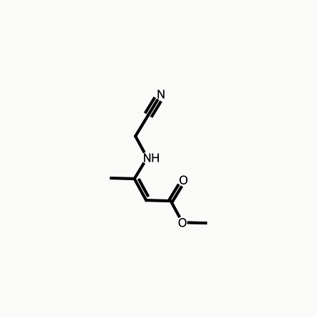 COC(=O)C=C(C)NCC#N